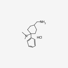 CN(C)C1(c2ccccc2)CCC(CN)CC1.Cl